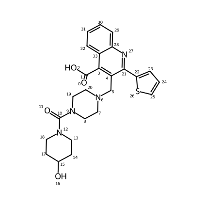 O=C(O)c1c(CN2CCN(C(=O)N3CCC(O)CC3)CC2)c(-c2cccs2)nc2ccccc12